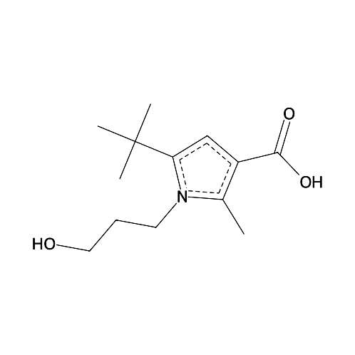 Cc1c(C(=O)O)cc(C(C)(C)C)n1CCCO